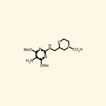 COc1nc(NCC2CN(C(=O)O)CCO2)nc(OC)c1N